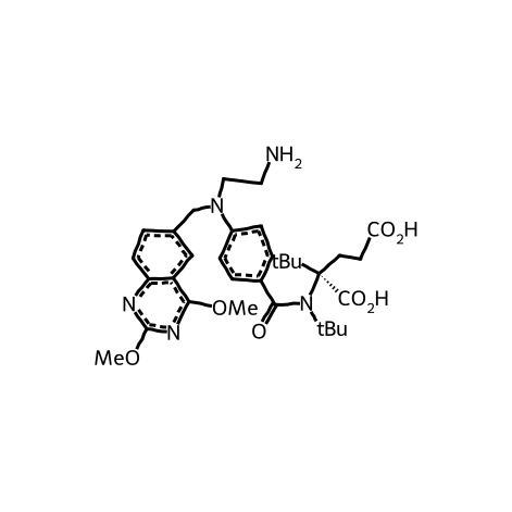 COc1nc(OC)c2cc(CN(CCN)c3ccc(C(=O)N(C(C)(C)C)[C@@](CCC(=O)O)(C(=O)O)C(C)(C)C)cc3)ccc2n1